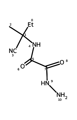 CCC(C)(C#N)NC(=O)C(=O)NN